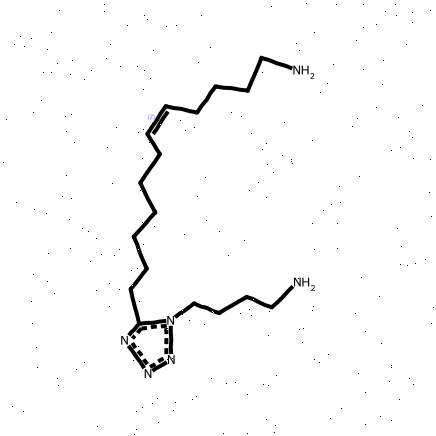 NCCCC/C=C\CCCCCCc1nnnn1CCCCN